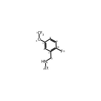 CCNCc1cc(OC(F)(F)F)ccc1F